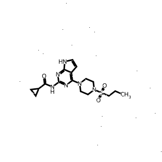 CCCS(=O)(=O)N1CCN(c2nc(NC(=O)C3CC3)nc3[nH]ccc23)CC1